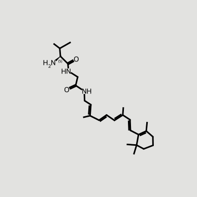 CC(C=CC1=C(C)CCCC1(C)C)=CC=CC(C)=CCNC(=O)CNC(=O)[C@@H](N)C(C)C